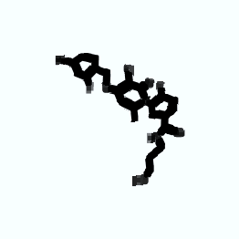 Cc1cc(OCc2ccc(F)cc2F)c(Cl)c(=O)n1-c1cc(C(=O)NCCCO)ccc1F